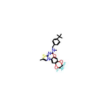 Cc1cn(-c2ccc3c(c2)OC(F)(F)C(F)(F)O3)/c(=N\C(=O)N(C)Cc2ccc(C(C)(C)C)cc2)s1